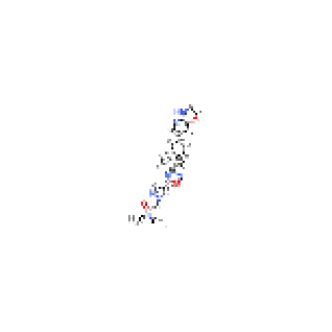 CN(C)C(=O)Cn1cc(-c2nc([C@](C)(c3ccc(-c4cnc5c(c4)OCCN5)cc3)C3CC3)no2)cn1